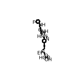 CCN(CCC#Cc1ccc2c(Nc3cc(OCCNc4cccc(F)c4)[nH]n3)ncnc2c1)CCOP(=O)(O)O